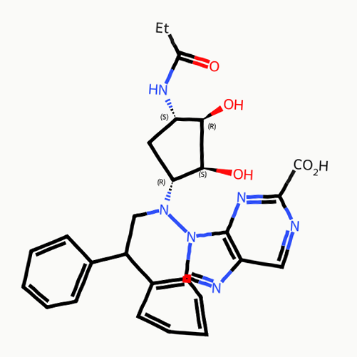 CCC(=O)N[C@H]1C[C@@H](N(CC(c2ccccc2)c2ccccc2)n2cnc3cnc(C(=O)O)nc32)[C@H](O)[C@@H]1O